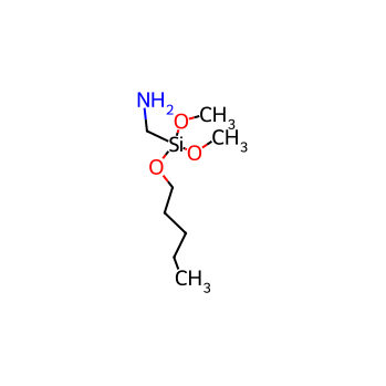 CCCCCO[Si](CN)(OC)OC